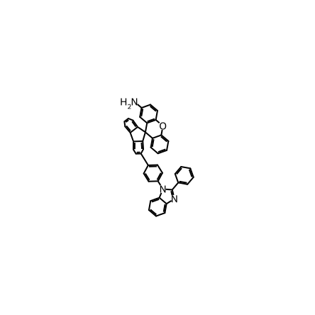 Nc1ccc2c(c1)C1(c3ccccc3O2)c2ccccc2-c2ccc(-c3ccc(-n4c(-c5ccccc5)nc5ccccc54)cc3)cc21